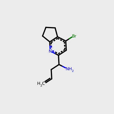 C=CCC(N)c1cc(Br)c2c(n1)CCC2